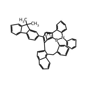 Cc1c2c3cc(-c4ccc5c(c4)C(C)(C)c4ccccc4-5)c1-c1ccc4ccccc4c1Cc1ccccc1B2N(c1ccccc1)c1ccccc1-3